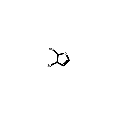 CC(C)(C)C1C=COC1C(C)(C)C